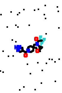 COCC1(CN(C(=O)C(F)(F)F)C2CC2)CCN(C(=O)c2cn[nH]c2)CC1